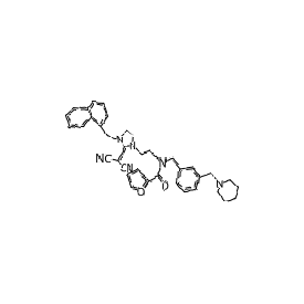 N#CC(C#N)=C1N(CCN(Cc2cccc(CN3CCCCC3)c2)C(=O)c2ccco2)CCN1Cc1cccc2ccccc12